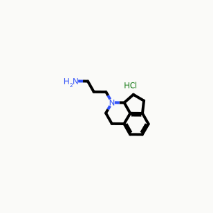 Cl.NCCCN1CCc2cccc3c2C1CC3